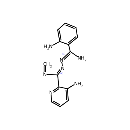 C=N/C(=N\N=C(/N)c1ccccc1N)c1ncccc1N